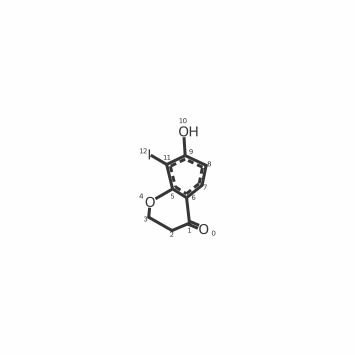 O=C1CCOc2c1ccc(O)c2I